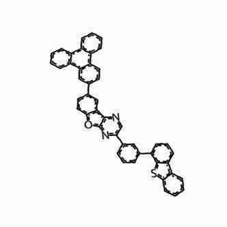 c1cc(-c2cnc3c(n2)oc2ccc(-c4ccc5c6ccccc6c6ccccc6c5c4)cc23)cc(-c2cccc3c2sc2ccccc23)c1